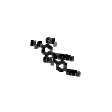 COc1ccc(CNc2cc(C)c(C)cc2C)c(OC)c1